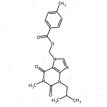 Cc1ccc(C(=O)OCn2cnc3c2c(=O)n(C)c(=O)n3CC(C)C)cc1